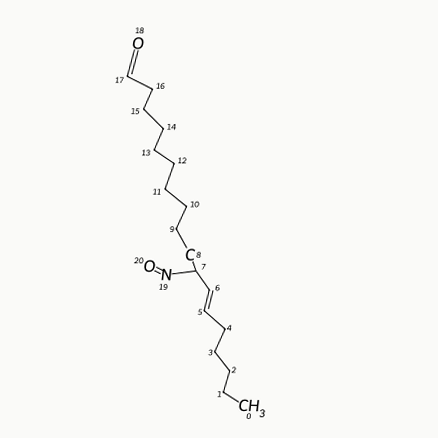 CCCCCC=CC(CCCCCCCCCC=O)N=O